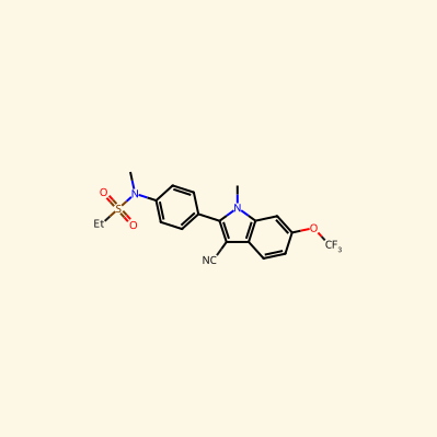 CCS(=O)(=O)N(C)c1ccc(-c2c(C#N)c3ccc(OC(F)(F)F)cc3n2C)cc1